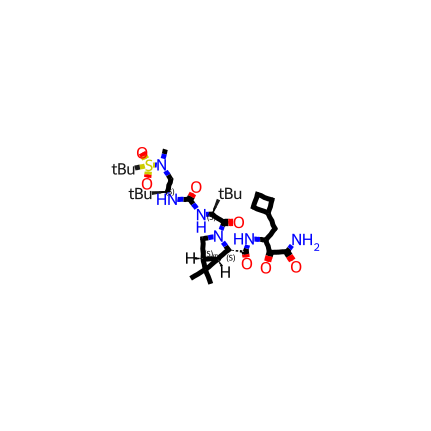 CN(C[C@@H](NC(=O)N[C@H](C(=O)N1C[C@H]2[C@@H]([C@H]1C(=O)NC(CC1CCC1)C(=O)C(N)=O)C2(C)C)C(C)(C)C)C(C)(C)C)S(=O)(=O)C(C)(C)C